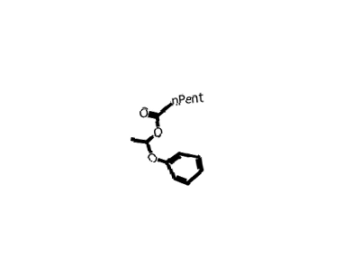 CCCCCC(=O)OC(C)Oc1ccccc1